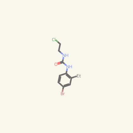 CCc1cc(Br)ccc1NC(=O)NCCCl